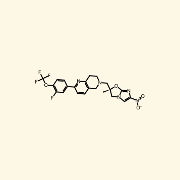 C[C@]1(CN2CCc3nc(-c4ccc(OC(F)(F)F)c(F)c4)ccc3C2)Cn2cc([N+](=O)[O-])nc2O1